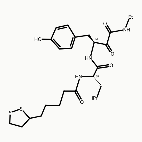 CCNC(=O)C(=O)[C@H](Cc1ccc(O)cc1)NC(=O)[C@H](CC(C)C)NC(=O)CCCCC1CCSS1